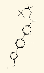 CN(c1ncc(-c2ccc(-n3cc(CO)cn3)cc2O)nn1)C1CC(C)(C)NC(C)(C)C1